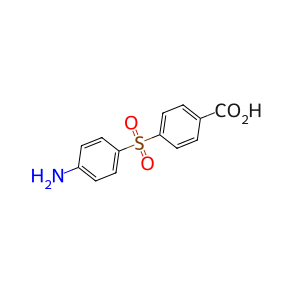 Nc1ccc(S(=O)(=O)c2ccc(C(=O)O)cc2)cc1